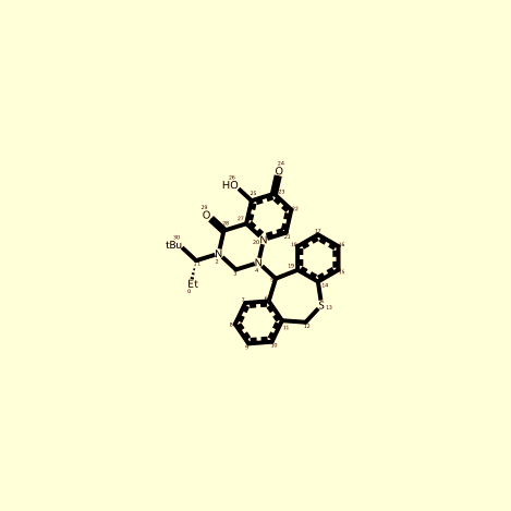 CC[C@@H](N1CN(C2c3ccccc3CSc3ccccc32)n2ccc(=O)c(O)c2C1=O)C(C)(C)C